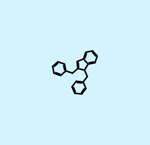 C1=C(Cc2ccccc2)C(Cc2ccccc2)c2ccccc21